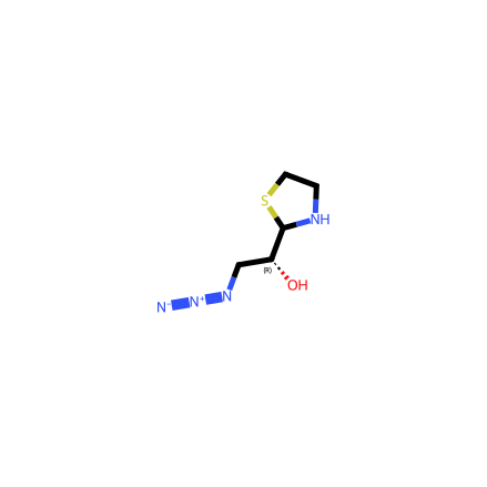 [N-]=[N+]=NC[C@@H](O)C1NCCS1